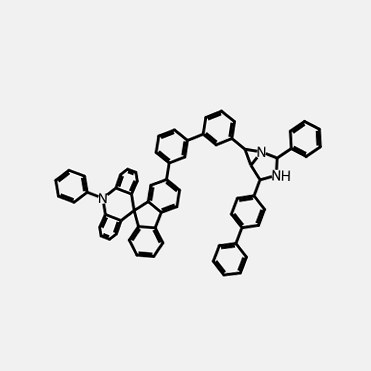 c1ccc(-c2ccc(C3NC(c4ccccc4)N4C(c5cccc(-c6cccc(-c7ccc8c(c7)C7(c9ccccc9-8)c8ccccc8N(c8ccccc8)c8ccccc87)c6)c5)C34)cc2)cc1